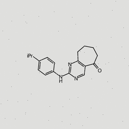 CC(C)c1ccc(Nc2ncc3c(n2)CCCCC3=O)cc1